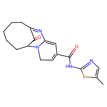 Cc1cnc(NC(=O)C2=CCN3C(=C2)N=C2CCCCCC3C2=O)s1